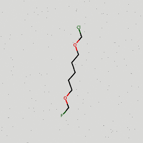 FCOCCCCCOCCl